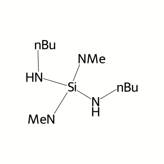 CCCCN[Si](NC)(NC)NCCCC